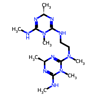 CNC1=N[C@H](C)N=C(NCCN(C)C2=N[C@H](C)N=C(NC)N2C)N1C